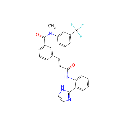 CN(C(=O)c1cccc(C=CC(=O)Nc2ccccc2-c2ncc[nH]2)c1)c1cccc(C(F)(F)F)c1